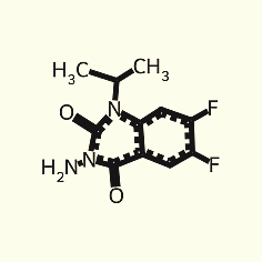 CC(C)n1c(=O)n(N)c(=O)c2cc(F)c(F)cc21